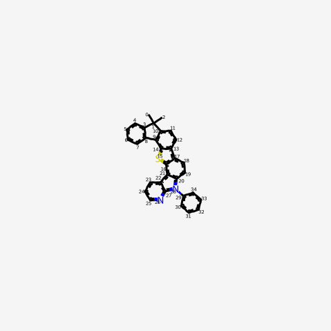 CC1(C)c2ccccc2-c2c1ccc1c2sc2c1ccc1c2c2cccnc2n1-c1ccccc1